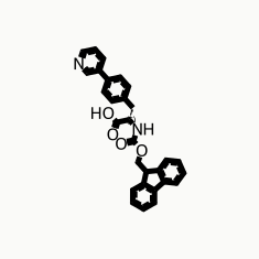 O=C(N[C@@H](Cc1ccc(-c2cccnc2)cc1)C(=O)O)OCC1c2ccccc2-c2ccccc21